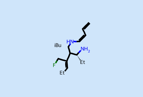 C=C/C=C\NC(C(C(=CCC)CF)[C@H](N)CC)[C@H](C)CC